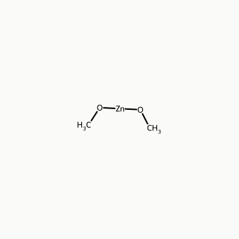 C[O][Zn][O]C